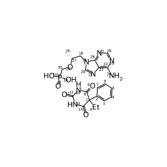 CCC1(c2ccccc2)C(=O)NC(=O)NC1=O.C[C@H](Cn1cnc2c(N)ncnc21)OCP(=O)(O)O